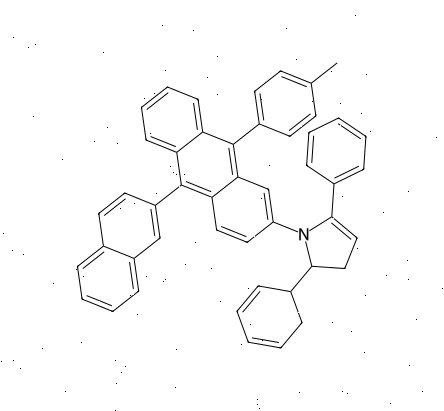 Cc1ccc(-c2c3ccccc3c(-c3ccc4ccccc4c3)c3ccc(N4C(c5ccccc5)=CCC4C4C=CC=CC4)cc23)cc1